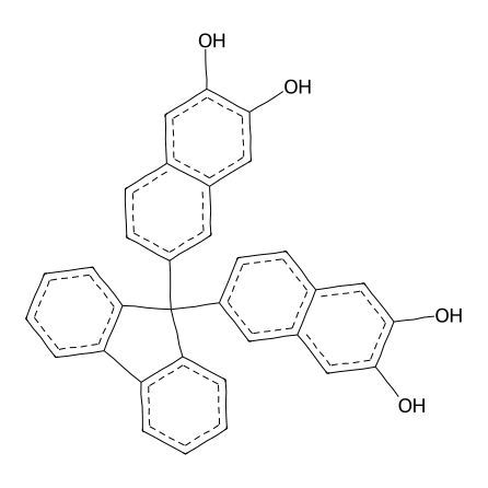 Oc1cc2ccc(C3(c4ccc5cc(O)c(O)cc5c4)c4ccccc4-c4ccccc43)cc2cc1O